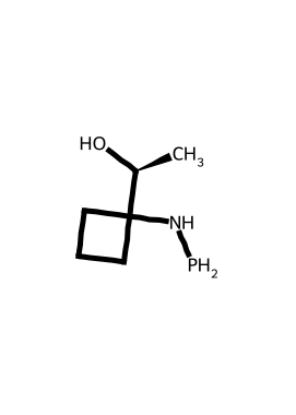 C[C@H](O)C1(NP)CCC1